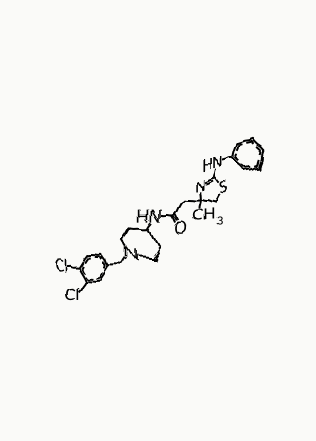 CC1(CC(=O)NC2CCN(Cc3ccc(Cl)c(Cl)c3)CC2)CSC(Nc2ccccc2)=N1